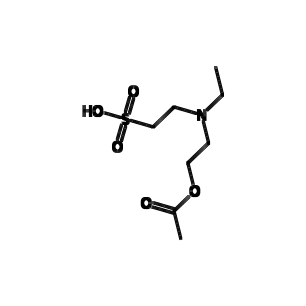 CCN(CCOC(C)=O)CCS(=O)(=O)O